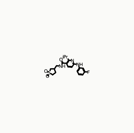 CC(C)c1nc(Nc2cccc(F)c2)ccc1C(=O)NCC1CCS(=O)(=O)C1